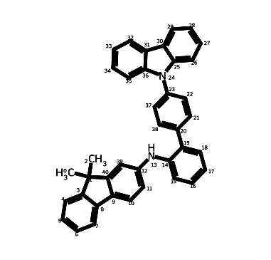 CC1(C)c2ccccc2-c2ccc(Nc3ccccc3-c3ccc(-n4c5ccccc5c5ccccc54)cc3)cc21